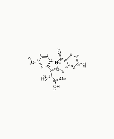 COc1ccc2c(c1)c(C(S)C(=O)O)c(C)n2C(=O)c1ccc(Cl)cc1